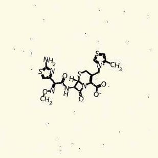 CON=C(C(=O)N[C@@H]1C(=O)N2C(C(=O)[O-])=C(C[n+]3cscc3C)CS[C@@H]12)c1csc(N)n1